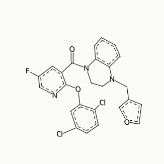 O=C(c1cc(F)cnc1Oc1cc(Cl)ccc1Cl)N1CCN(Cc2ccoc2)c2ccccc21